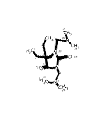 CCC1(CC)C(=O)N(CN(C)C)C(=O)N1CN(C)C